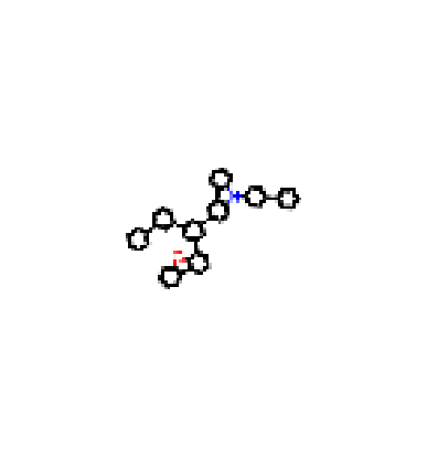 c1ccc(-c2ccc(-n3c4ccccc4c4cc(-c5cc(-c6cccc(-c7ccccc7)c6)cc(-c6cccc7c6oc6ccccc67)c5)ccc43)cc2)cc1